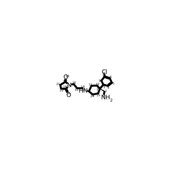 NC[C@]1(C2C=CC=C(Cl)C2)CC[C@H](NCCCN2C(=O)CCC2=O)CC1